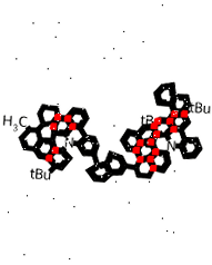 CC1C=Cc2cccc(-c3ccccc3N(c3ccc(C(C)(C)C)cc3)c3cc(-c4cccc5cc(C6CCCCC6c6cccc7cccc(-c8ccccc8N(c8ccccc8-c8cc(C(C)(C)C)cc(C(C)(C)C)c8)c8cc(-c9cccc%10ccccc9%10)ccc8-c8ccccc8)c67)ccc45)ccc3-c3ccccc3)c2C1C1CCCCC1